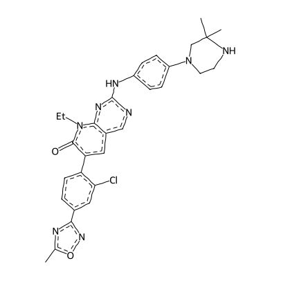 CCn1c(=O)c(-c2ccc(-c3noc(C)n3)cc2Cl)cc2cnc(Nc3ccc(N4CCNC(C)(C)C4)cc3)nc21